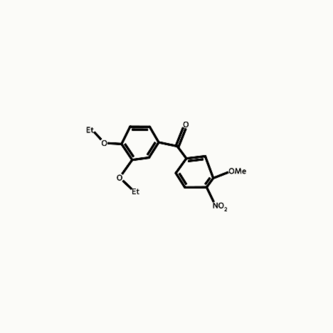 CCOc1ccc(C(=O)c2ccc([N+](=O)[O-])c(OC)c2)cc1OCC